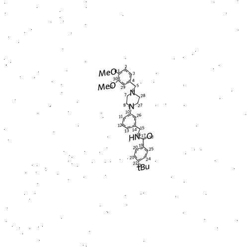 COc1ccc(CN2CCN(c3cccc(CNC(=O)c4ccc(C(C)(C)C)cc4)c3)CC2)cc1OC